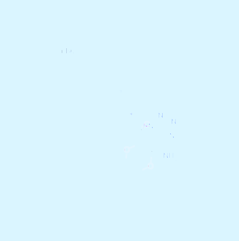 CCCCc1ccc(/C=C/C=C/C(=O)C2Oc3ccccc3OC2(N)c2nnn[nH]2)cc1